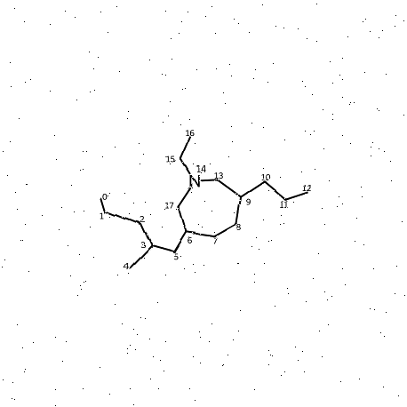 CCCC(C)CC1CCC(CCC)CN(CC)C1